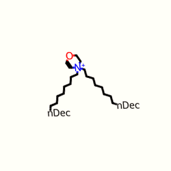 CCCCCCCCCCCCCCCCCC[N+]1(CCCCCCCCCCCCCCCCCC)C#COCC1